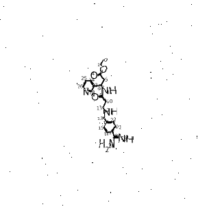 CCOC(=O)CC(NC(=O)CCNCc1ccc(C(=N)N)cc1)c1cccnc1